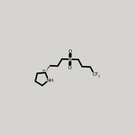 O=S(=O)(CCC[C@H]1CCCN1)CCCC(F)(F)F